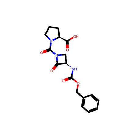 O=C(N[C@H]1CN(C(=O)N2CCC[C@H]2C(=O)O)C1=O)OCc1ccccc1